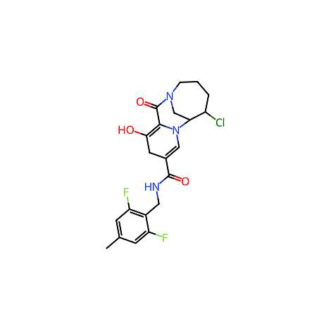 Cc1cc(F)c(CNC(=O)C2=CN3C(=C(O)C2)C(=O)N2CCCC(Cl)C3C2)c(F)c1